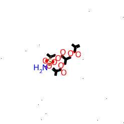 C=C(C)C(=O)OCC(COC(=O)C(=C)C)C(=O)OCC(C)S(=O)(=O)ON